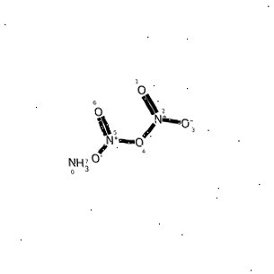 N.O=[N+]([O-])O[N+](=O)[O-]